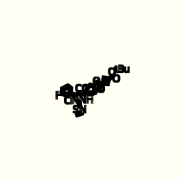 CCOC(=O)C1=C(C2CCN(S(=O)(=O)C3CC(C(=O)OC(C)(C)C)C3)CC2)NC(c2nccs2)=NC1c1cccc(F)c1Cl